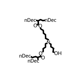 CCCCCCCCCCCCC(CCCCCCCCCC)C(=O)OCCCCCCN(CCCCO)CCCCOC(=O)C(CCCCCCCCCC)CCCCCCCCCCCC